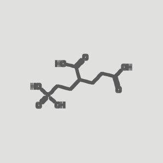 O=C(O)CCC(CCP(=O)(O)O)C(=O)O